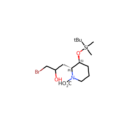 CC(C)(C)[Si](C)(C)O[C@H]1CCCN(C(=O)O)[C@@H]1CC(O)CBr